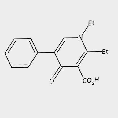 CCc1c(C(=O)O)c(=O)c(-c2ccccc2)cn1CC